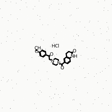 COc1ccc(C(=O)CN2CCN(C(=O)c3ccc4c(c3)CCC(=O)N4)CC2)cc1.Cl